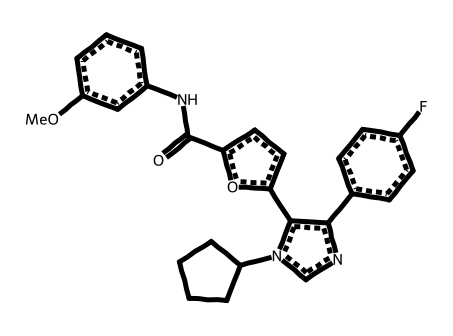 COc1cccc(NC(=O)c2ccc(-c3c(-c4ccc(F)cc4)ncn3C3CCCC3)o2)c1